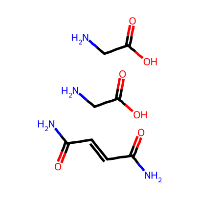 NC(=O)/C=C/C(N)=O.NCC(=O)O.NCC(=O)O